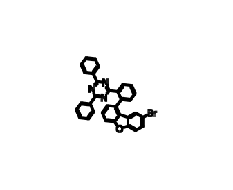 Brc1ccc2oc3cccc(-c4ccccc4-c4nc(-c5ccccc5)nc(-c5ccccc5)n4)c3c2c1